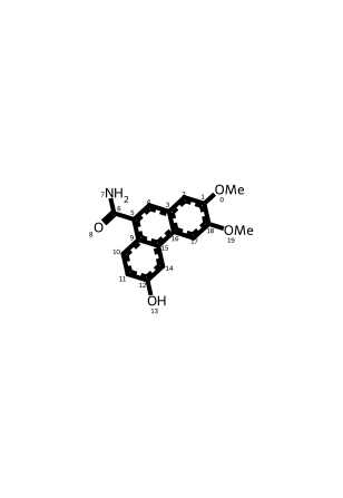 COc1cc2cc(C(N)=O)c3ccc(O)cc3c2cc1OC